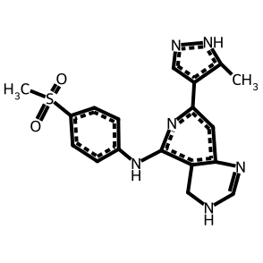 Cc1[nH]ncc1-c1cc2c(c(Nc3ccc(S(C)(=O)=O)cc3)n1)CNC=N2